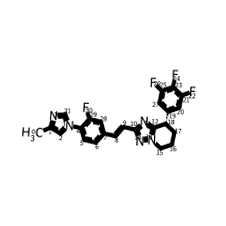 Cc1cn(-c2ccc(/C=C/c3nc4n(n3)CCC[C@H]4c3cc(F)c(F)c(F)c3)cc2F)cn1